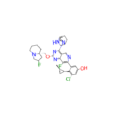 C[C@@H]1C[C@@H]1c1c(Cl)cc(O)cc1-c1ncc2c(N3CC4CCC3CN4)nc(OC[C@@]34CCCCN3C[C@H](F)C4)nc2c1F